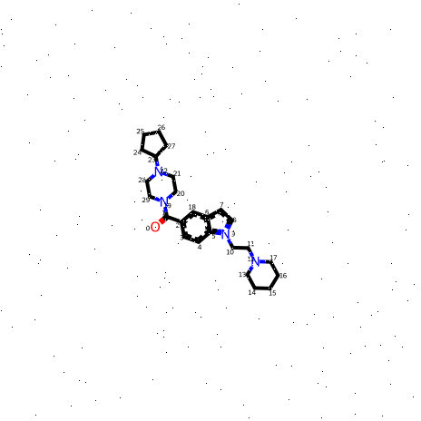 O=C(c1ccc2c(ccn2CCN2CCCCC2)c1)N1CCN(C2CCCC2)CC1